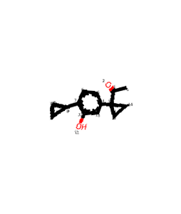 CC(=O)C1(c2ccc(C3CC3)c(O)c2)CC1